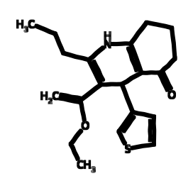 C=C(OCC)C1=C(CCC)NC2=C(C(=O)CCC2)C1c1ccsc1